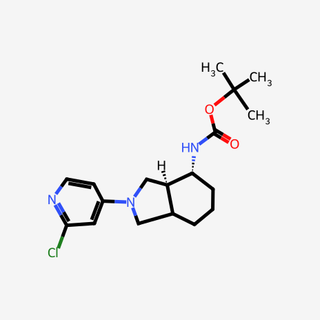 CC(C)(C)OC(=O)N[C@@H]1CCCC2CN(c3ccnc(Cl)c3)C[C@H]21